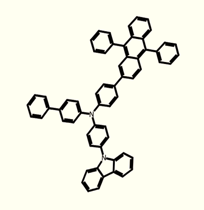 c1ccc(-c2ccc(N(c3ccc(-c4ccc5c(-c6ccccc6)c6ccccc6c(-c6ccccc6)c5c4)cc3)c3ccc(-n4c5ccccc5c5ccccc54)cc3)cc2)cc1